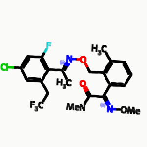 CNC(=O)/C(=N/OC)c1cccc(C)c1CO/N=C(\C)c1c(F)cc(Cl)cc1CC(F)(F)F